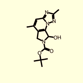 Cc1nc2cc(C)c3c(n2n1)C(O)N(C(=O)OC(C)(C)C)C3